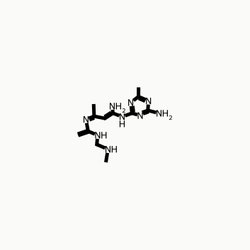 C=C(/N=C(C)\C=C(/N)Nc1nc(C)nc(N)n1)NCNC